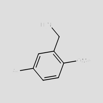 COc1ccc(C(C)=O)cc1CN